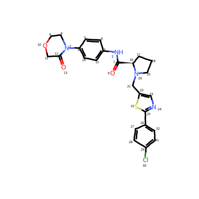 O=C(Nc1ccc(N2CCOCC2=O)cc1)[C@H]1CCCN1Cc1cnc(-c2ccc(Cl)cc2)s1